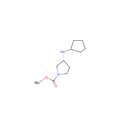 CC(C)(C)OC(=O)N1CC[C@@H](NC2CCCC2)C1